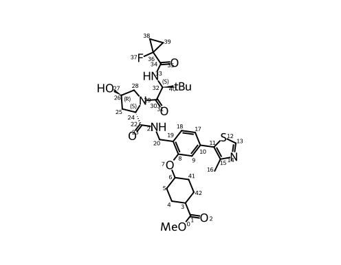 COC(=O)C1CCC(Oc2cc(-c3scnc3C)ccc2CNC(=O)[C@@H]2C[C@@H](O)CN2C(=O)[C@@H](NC(=O)C2(F)CC2)C(C)(C)C)CC1